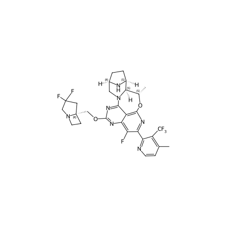 Cc1ccnc(-c2nc3c4c(nc(OC[C@]56CCN5CC(F)(F)C6)nc4c2F)N2C[C@H]4CC[C@H](N4)[C@H]2[C@H](C)O3)c1C(F)(F)F